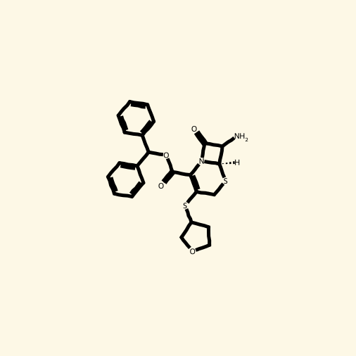 NC1C(=O)N2C(C(=O)OC(c3ccccc3)c3ccccc3)=C(SC3CCOC3)CS[C@H]12